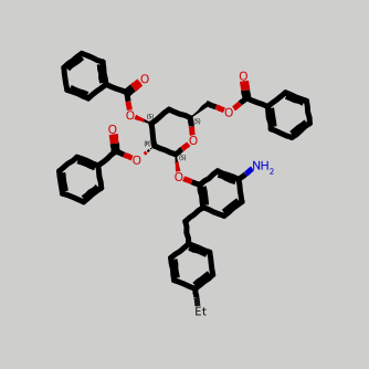 CCc1ccc(Cc2ccc(N)cc2O[C@@H]2O[C@H](COC(=O)c3ccccc3)C[C@H](OC(=O)c3ccccc3)[C@H]2OC(=O)c2ccccc2)cc1